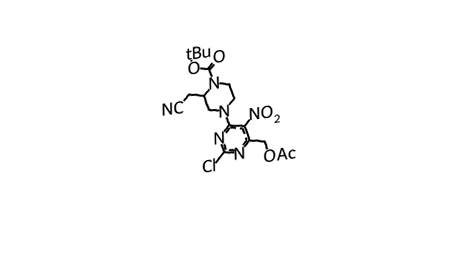 CC(=O)OCc1nc(Cl)nc(N2CCN(C(=O)OC(C)(C)C)C(CC#N)C2)c1[N+](=O)[O-]